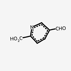 O=Cc1ccc(C(=O)O)nc1